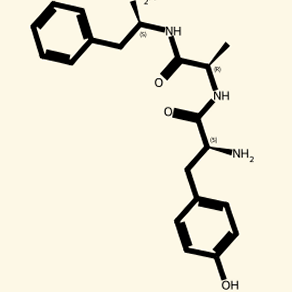 C[C@@H](NC(=O)[C@@H](N)Cc1ccc(O)cc1)C(=O)N[C@@H](Cc1ccccc1)C(=O)O